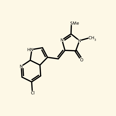 CSC1=N/C(=C\C2=CNC3N=CC(Cl)=CC23)C(=O)N1C